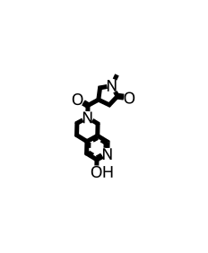 CN1CC(C(=O)N2CCc3cc(O)ncc3C2)CC1=O